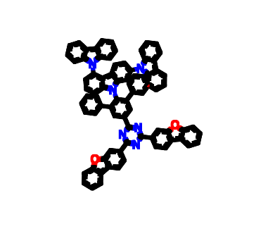 c1ccc(-c2cc(-c3nc(-c4ccc5c(c4)oc4ccccc45)nc(-c4ccc5c(c4)oc4ccccc45)n3)cc(-c3ccccc3)c2-n2c3cc(-n4c5ccccc5c5ccccc54)ccc3c3c(-n4c5ccccc5c5ccccc54)cccc32)cc1